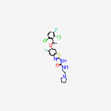 C[C@@H](Oc1cc2sc(NC(=O)NCCN3CCCC3)nc2cc1F)c1c(Cl)ccc(F)c1Cl